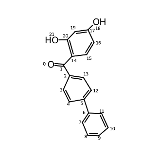 O=C(c1ccc(-c2ccccc2)cc1)c1ccc(O)cc1O